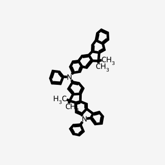 CC1(C)c2cc3ccccc3cc2-c2cc3ccc(N(c4ccccc4)c4ccc5c(c4)C(C)(C)c4cc6c(cc4-5)c4ccccc4n6-c4ccccc4)cc3cc21